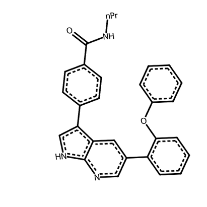 CCCNC(=O)c1ccc(-c2c[nH]c3ncc(-c4ccccc4Oc4ccccc4)cc23)cc1